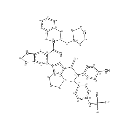 O=C(c1cc(-c2cc3c(cc2C(=O)N2Cc4ccccc4CC2CN2CCOCC2)OCO3)n2c1CCCC2)N(Cc1ccc(OC(F)(F)F)cc1)c1ccc(O)cc1